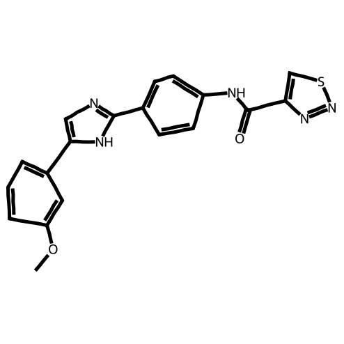 COc1cccc(-c2cnc(-c3ccc(NC(=O)c4csnn4)cc3)[nH]2)c1